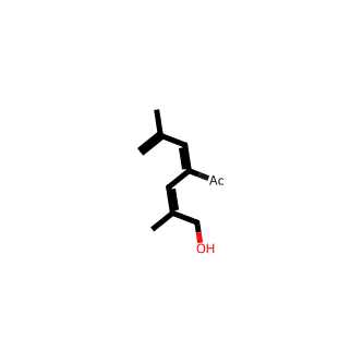 C=C(C)/C=C(\C=C(\C)CO)C(C)=O